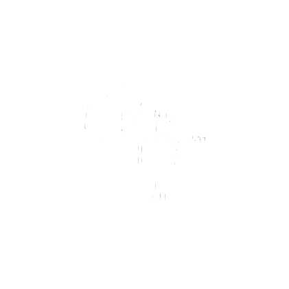 Nc1c(O)cc(O)cc1C12CC3CC(CC(C3)C1)C2